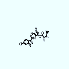 C[C@H](NC(=O)Oc1c[nH]c2ncc(-c3nn(C)c4cc(Cl)ccc34)nc12)C1CC1